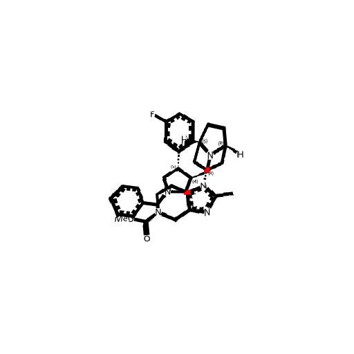 COC(=O)N1CCc2c(nc(C)n2[C@H]2C[C@H]3CC[C@@H](C2)N3C[C@H]2CN(Cc3ccccc3)C[C@@H]2c2cccc(F)c2)C1